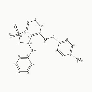 O=[N+]([O-])c1ccc(COc2cccc3c2C(Sc2ccccc2)CS3(=O)=O)cc1